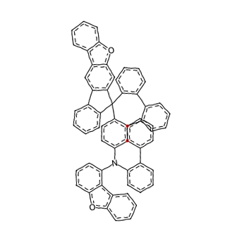 c1ccc(-c2ccccc2N(c2ccc3c(c2)-c2ccccc2-c2ccccc2C32c3ccccc3-c3cc4c(cc32)oc2ccccc24)c2cccc3oc4ccccc4c23)cc1